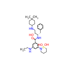 CCNc1cc(C(=O)N[C@@H](Cc2ccccc2)[C@H](O)CNC2CCC(C)(C)CC2)cc(N2CCCCS2(O)O)c1